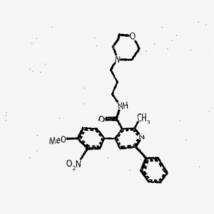 COc1ccc(-c2cc(-c3ccccc3)nc(C)c2C(=O)NCCCN2CCOCC2)cc1[N+](=O)[O-]